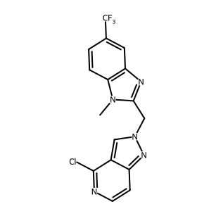 Cn1c(Cn2cc3c(Cl)nccc3n2)nc2cc(C(F)(F)F)ccc21